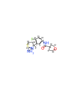 CC1(c2cc(NC(=O)C3CCOCC3)ccc2F)CCSC(N)=N1